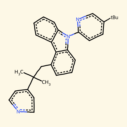 CC(C)(C)c1ccc(-n2c3ccccc3c3c(CC(C)(C)c4ccncc4)cccc32)nc1